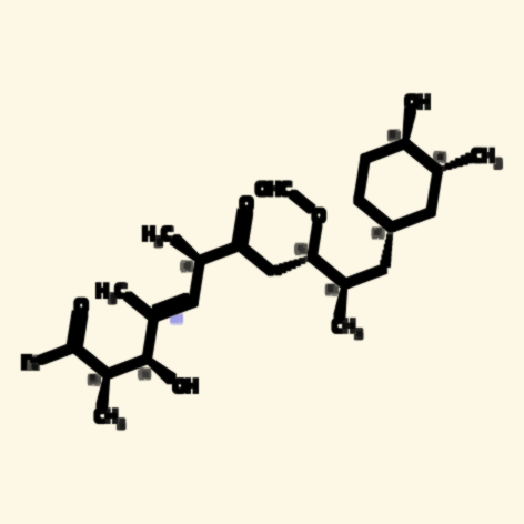 CCC(=O)[C@H](C)[C@H](O)/C(C)=C/[C@@H](C)C(=O)C[C@H](OC=O)[C@H](C)C[C@@H]1CC[C@@H](O)[C@H](C)C1